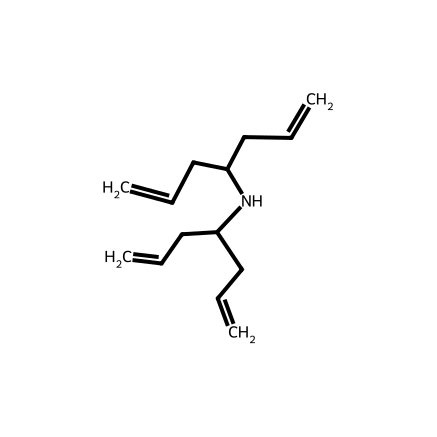 C=CCC(CC=C)NC(CC=C)CC=C